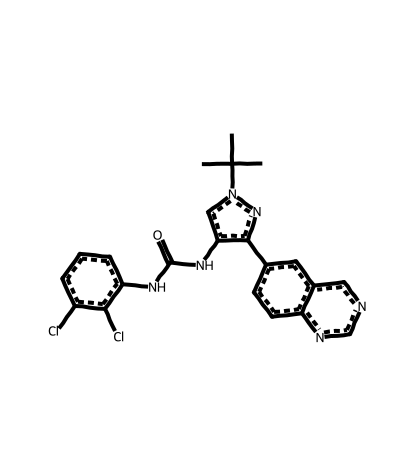 CC(C)(C)n1cc(NC(=O)Nc2cccc(Cl)c2Cl)c(-c2ccc3ncncc3c2)n1